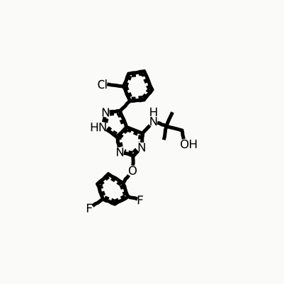 CC(C)(CO)Nc1nc(Oc2ccc(F)cc2F)nc2[nH]nc(-c3ccccc3Cl)c12